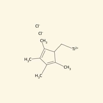 CC1=C(C)C([CH2][Ti+2])C(C)=C1C.[Cl-].[Cl-]